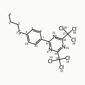 CCCSc1ccc(-c2nc(C(Cl)(Cl)Cl)nc(C(Cl)(Cl)Cl)n2)cc1